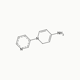 NC1=CCN(c2cccnc2)C=C1